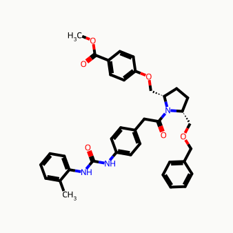 COC(=O)c1ccc(OC[C@@H]2CC[C@H](COCc3ccccc3)N2C(=O)Cc2ccc(NC(=O)Nc3ccccc3C)cc2)cc1